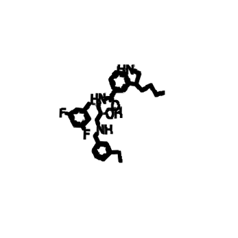 CCCCC1CNc2ccc(C(=O)N[C@@H](Cc3cc(F)cc(F)c3)[C@H](O)CNCc3cccc(CC)c3)cc21